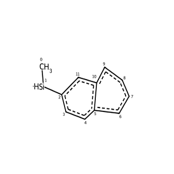 C[SiH]c1ccc2ccccc2c1